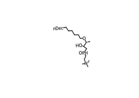 CCCCCCCCCCCCCCCCO[C@@H](C)[C@H](O)C[PH](=O)CC[N+](C)(C)C